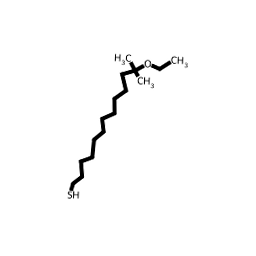 CCOC(C)(C)CCCCCCCCCCCS